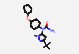 Cn1nc(C(C)(C)C)cc1N(C(N)=O)c1ccc(Oc2ccccc2)cc1